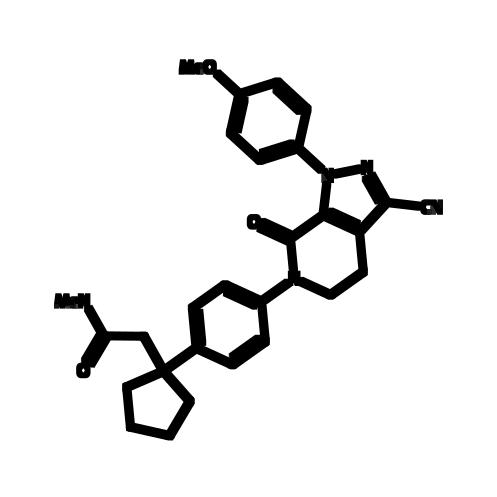 CNC(=O)CC1(c2ccc(N3CCc4c(C#N)nn(-c5ccc(OC)cc5)c4C3=O)cc2)CCCC1